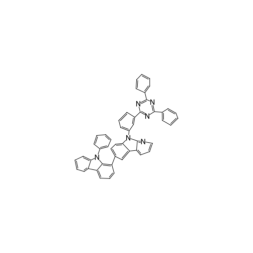 c1ccc(-c2nc(-c3ccccc3)nc(-c3cccc(-n4c5ccc(-c6cccc7c8ccccc8n(-c8ccccc8)c67)cc5c5cccnc54)c3)n2)cc1